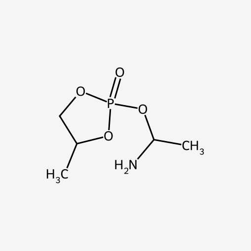 CC(N)OP1(=O)OCC(C)O1